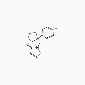 Cc1ccc(C2(CN3CC=CC3=O)CCCC2)cc1